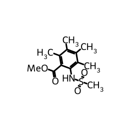 COC(=O)c1c(C)c(C)c(C)c(C)c1NS(C)(=O)=O